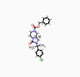 CC(C)(c1ccc(Br)cc1)N1C[C@@H]2CN(C(=O)OCc3ccccc3)CCN2C1=O